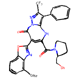 COc1cccc2oc(-c3c(C(=O)N4CCCC4CO)[nH]c4c(-c5ccccc5)c(C(F)(F)F)nn4c3=O)nc12